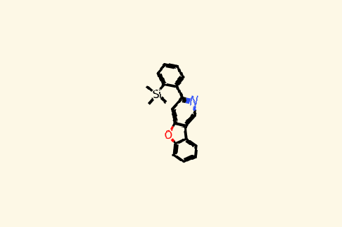 C[Si](C)(C)c1ccccc1-c1cc2oc3ccccc3c2cn1